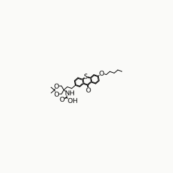 CCCCCOc1ccc2c(=O)c3cc(CCC4(NC(=O)O)COC(C)(C)OC4)ccc3sc2c1